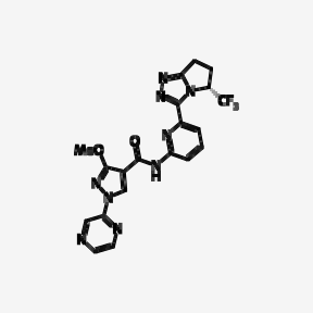 COc1nn(-c2cnccn2)cc1C(=O)Nc1cccc(-c2nnc3n2[C@@H](C(F)(F)F)CC3)n1